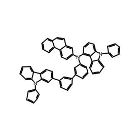 c1ccc(-n2c3ccccc3c3ccc(-c4cccc(-c5cccc(N(c6ccc7c(ccc8ccccc87)c6)c6cccc7c6c6ccccc6n7-c6ccccc6)c5)c4)cc32)cc1